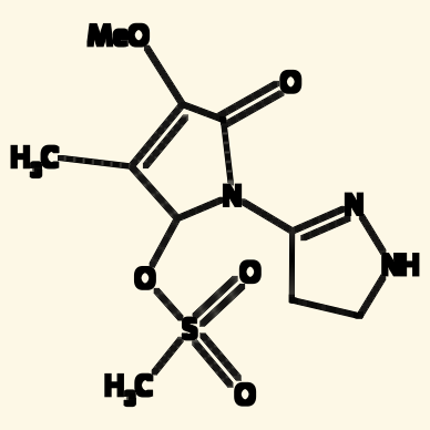 COC1=C(C)C(OS(C)(=O)=O)N(C2=NNCC2)C1=O